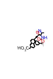 Cc1noc(C#Cc2ccc3cc(CC(=O)O)ccc3c2)c1NC(=O)O[C@H](C)c1ccccc1